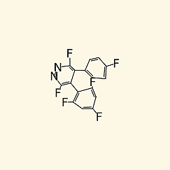 Fc1ccc(-c2c(F)nnc(F)c2-c2c(F)cc(F)cc2F)cc1